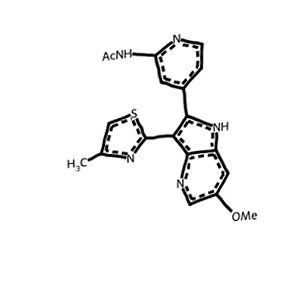 COc1cnc2c(-c3nc(C)cs3)c(-c3ccnc(NC(C)=O)c3)[nH]c2c1